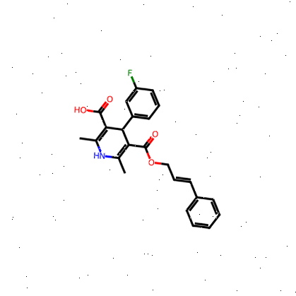 CC1=C(C(=O)O)C(c2cccc(F)c2)C(C(=O)OCC=Cc2ccccc2)=C(C)N1